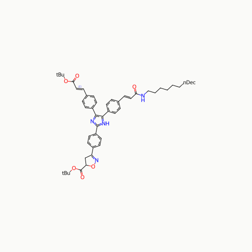 CCCCCCCCCCCCCCCCNC(=O)C=Cc1ccc(-c2[nH]c(-c3ccc(C4=NOC(C(=O)OC(C)(C)C)C4)cc3)nc2-c2ccc(/C=C/C(=O)OC(C)(C)C)cc2)cc1